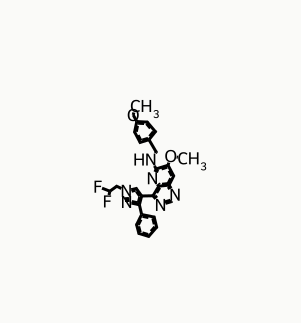 COc1ccc(CNc2nc3c(-c4cn(CC(F)F)nc4-c4ccccc4)ncnc3cc2OC)cc1